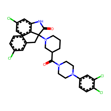 O=C(C1CCCN(C2(Cc3cccc(Cl)c3)C(=O)Nc3cc(Cl)ccc32)C1)N1CCN(c2ccc(Cl)c(Cl)c2)CC1